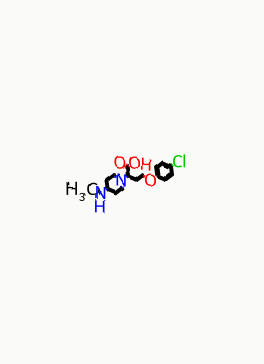 CNC1CCN(C(CCOc2ccc(Cl)cc2)C(=O)O)CC1